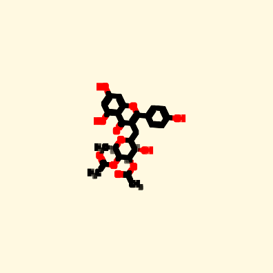 CC(=O)OC1[C@H](C)OC(Cc2c(-c3ccc(O)cc3)oc3cc(O)cc(O)c3c2=O)[C@H](O)[C@@H]1OC(C)=O